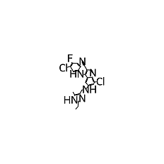 CCc1nc(CNc2cc(Cl)c3ncc(C#N)c(Nc4ccc(F)c(Cl)c4)c3c2)c(C)[nH]1